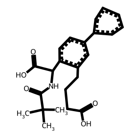 CC(C)(C)C(=O)NC(C(=O)O)c1ccc(-c2ccccc2)cc1CCCC(=O)O